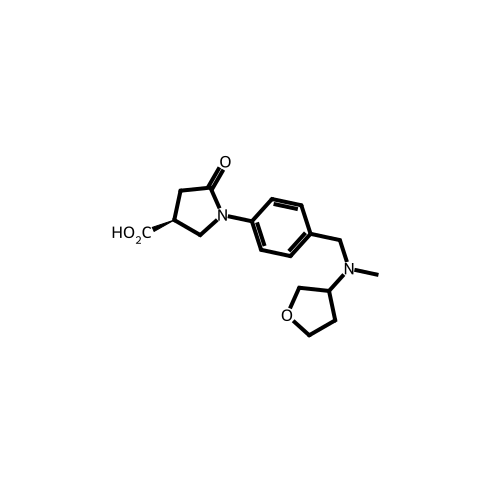 CN(Cc1ccc(N2C[C@@H](C(=O)O)CC2=O)cc1)C1CCOC1